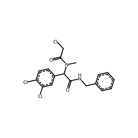 CN(C(=O)CCl)C(C(=O)NCc1ccccc1)c1ccc(Cl)c(Cl)c1